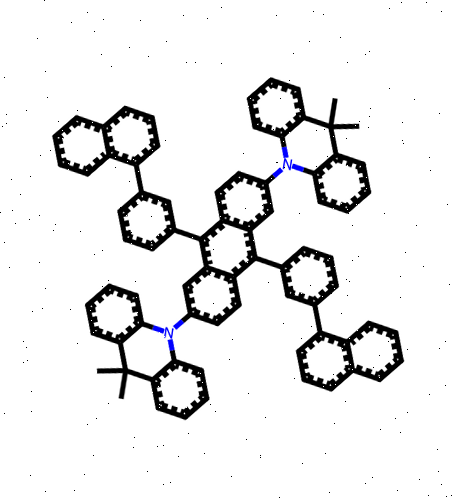 CC1(C)c2ccccc2N(c2ccc3c(-c4cccc(-c5cccc6ccccc56)c4)c4cc(N5c6ccccc6C(C)(C)c6ccccc65)ccc4c(-c4cccc(-c5cccc6ccccc56)c4)c3c2)c2ccccc21